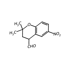 CC1(C)CC(C=O)c2cc([N+](=O)[O-])ccc2O1